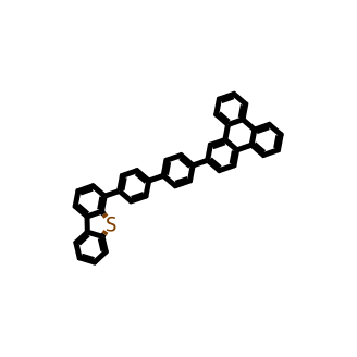 c1ccc2c(c1)sc1c(-c3ccc(-c4ccc(-c5ccc6c7ccccc7c7ccccc7c6c5)cc4)cc3)cccc12